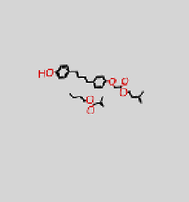 C=C(C)C(=O)OCCCC.CC(C)=CCOC(=O)COc1ccc(C=CC=Cc2ccc(O)cc2)cc1